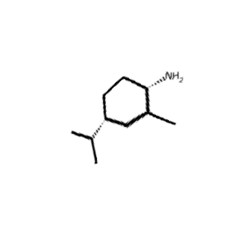 CC(C)[C@@H]1CC[C@H](N)C(C)C1